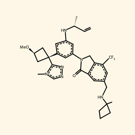 C=C[C@@H](C)Nc1cc(N2Cc3c(cc(CNC4(C)CCC4)cc3C(F)(F)F)C2=O)cc([C@]2(c3nncn3C)C[C@H](OC)C2)c1